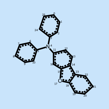 c1ccc(N(c2ccccc2)c2ccc3c(c2)oc2ccccc23)cc1